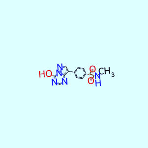 CNS(=O)(=O)c1ccc(-c2cnn3c(O)ncnc23)cc1